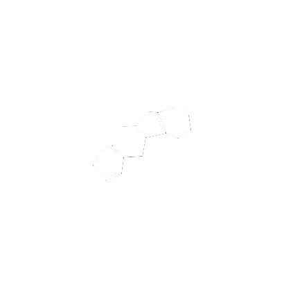 CC1OC2=C(CCCO2)C1Cc1ccccc1